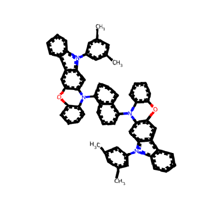 Cc1cc(C)cc(-n2c3ccccc3c3cc4c(cc32)N(c2cccc3c(N5c6ccccc6Oc6cc7c8ccccc8n(-c8cc(C)cc(C)c8)c7cc65)cccc23)c2ccccc2O4)c1